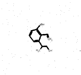 C=Cc1c([C](C)CO)cccc1C(C)(C)C